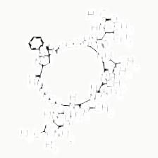 CC(=O)N[C@H](C(=O)N[C@H]1CCCCN2C(=O)C23CC(=NN3c2ccccc2)C(=O)NCCCC[C@@H](C(=O)N[C@@H](CC(C)C)C(N)=O)NC(=O)[C@H](C(C)C)NC(=O)C(C)(C)NC(=O)[C@H](CC(C)C)NC1=O)C(C)C